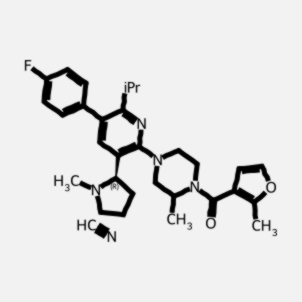 C#N.Cc1occc1C(=O)N1CCN(c2nc(C(C)C)c(-c3ccc(F)cc3)cc2[C@H]2CCCN2C)CC1C